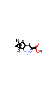 COC(=O)C(N)C[C@H]1C[C@@H]2C[C@@H]2C1